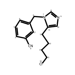 N#Cc1cccc(Cn2cncc2CCCCCl)c1